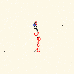 CCC(C)C(=O)OCCOCCOCCOc1ccc(C(=O)Oc2ccc(-c3ccc(N=C=O)cc3)cc2)cc1